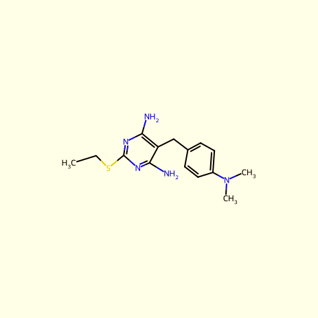 CCSc1nc(N)c(Cc2ccc(N(C)C)cc2)c(N)n1